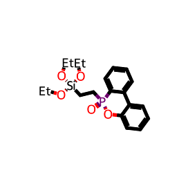 CCO[Si](CCP1(=O)Oc2ccccc2-c2ccccc21)(OCC)OCC